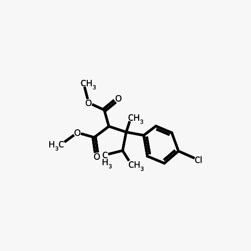 COC(=O)C(C(=O)OC)C(C)(c1ccc(Cl)cc1)C(C)C